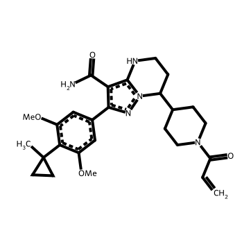 C=CC(=O)N1CCC(C2CCNc3c(C(N)=O)c(-c4cc(OC)c(C5(C)CC5)c(OC)c4)nn32)CC1